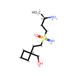 N=S(=O)(CC[C@H](N)C(=O)O)CCC1(CO)CCC1